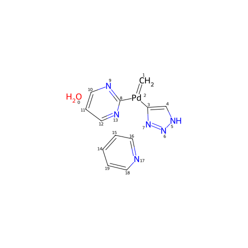 O.[CH2]=[Pd]([c]1c[nH]nn1)[c]1ncccn1.c1ccncc1